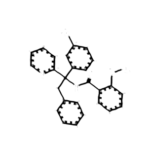 O=C(NC(Cc1ccccc1)(c1cccc(C(F)(F)F)c1)c1ccccn1)c1ccccc1OC(F)(F)F